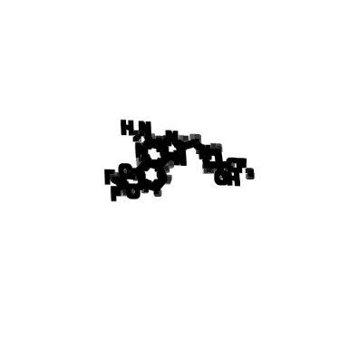 Nc1nc2c3c(ccc2c2nc(CN4CC(O)(C(F)(F)F)C4)nn12)OC(F)(F)O3